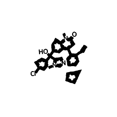 C#Cc1ccccc1-c1cc(=O)n(C)c2ccc(C(O)(c3ccc(Cl)cc3)c3cncn3C)cc12.c1cc2cc-2c1